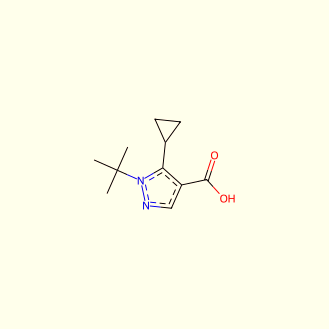 CC(C)(C)n1ncc(C(=O)O)c1C1CC1